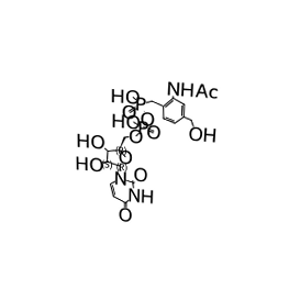 CC(=O)Nc1cc(CO)ccc1CP(=O)(O)OP(=O)(O)OC[C@H]1O[C@@H](n2ccc(=O)[nH]c2=O)[C@@H](O)C1O